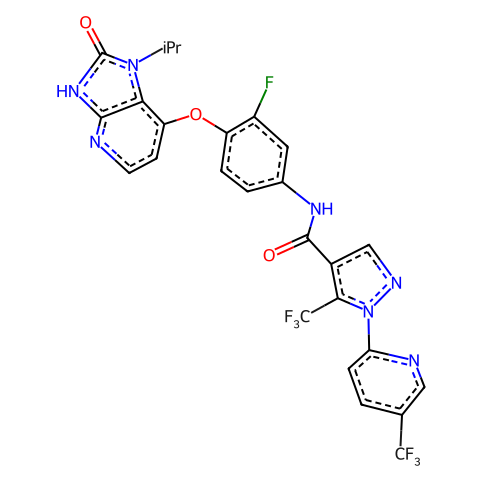 CC(C)n1c(=O)[nH]c2nccc(Oc3ccc(NC(=O)c4cnn(-c5ccc(C(F)(F)F)cn5)c4C(F)(F)F)cc3F)c21